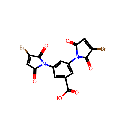 O=C(O)c1cc(N2C(=O)C=C(Br)C2=O)cc(N2C(=O)C=C(Br)C2=O)c1